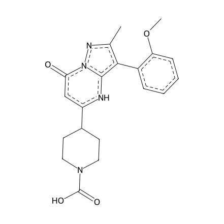 COc1ccccc1-c1c(C)nn2c(=O)cc(C3CCN(C(=O)O)CC3)[nH]c12